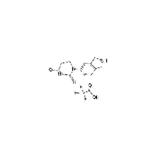 O=C(O)C(F)(F)F.O=C1CCN(c2ccc3c(c2)CNC3)C(=O)N1